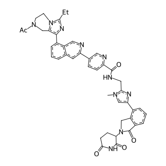 CCc1nc(-c2cccc3cc(-c4ccc(C(=O)NCc5nc(-c6cccc7c6CN(C6CCC(=O)NC6=O)C7=O)cn5C)nc4)ncc23)c2n1CCN(C(C)=O)C2